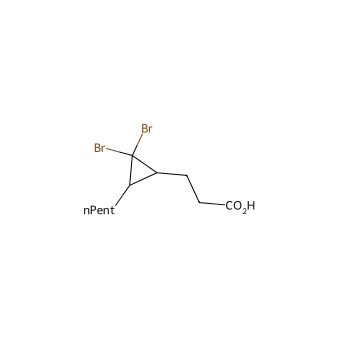 CCCCCC1C(CCC(=O)O)C1(Br)Br